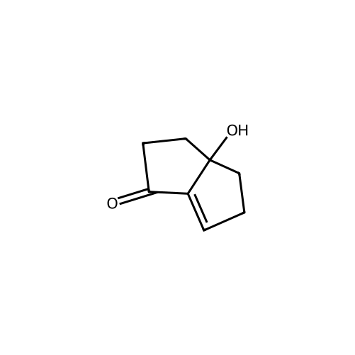 O=C1CCC2(O)CCC=C12